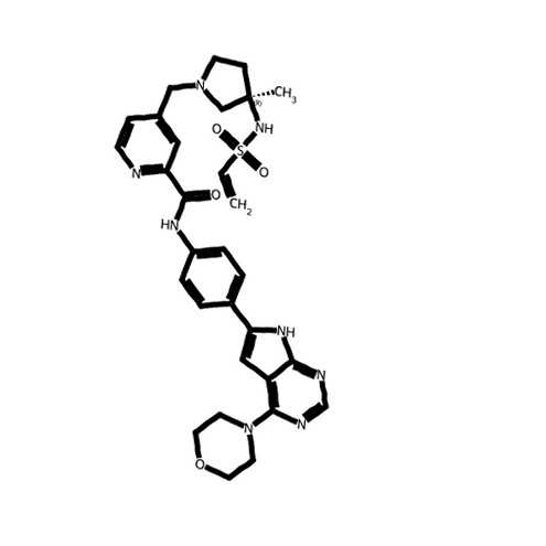 C=CS(=O)(=O)N[C@]1(C)CCN(Cc2ccnc(C(=O)Nc3ccc(-c4cc5c(N6CCOCC6)ncnc5[nH]4)cc3)c2)C1